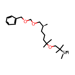 C[C@@H](CCCC(C)(C)OCC(C)(C)[SiH](C)C)COCOCc1ccccc1